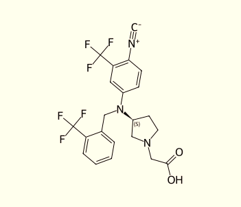 [C-]#[N+]c1ccc(N(Cc2ccccc2C(F)(F)F)[C@H]2CCN(CC(=O)O)C2)cc1C(F)(F)F